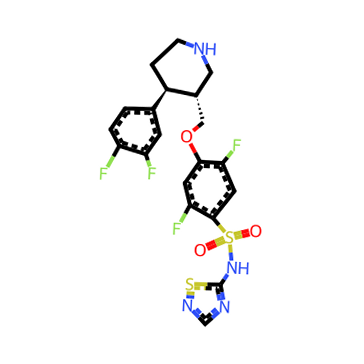 O=S(=O)(Nc1ncns1)c1cc(F)c(OC[C@H]2CNCC[C@@H]2c2ccc(F)c(F)c2)cc1F